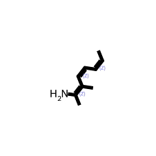 C\C=C/C=C\C(C)=C(\C)N